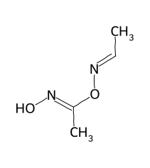 CC=NOC(C)=NO